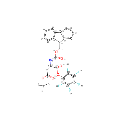 CC(C)(C)OC(=O)C[C@H](NC(=O)OCC1c2ccccc2-c2ccccc21)C(=O)Oc1c(F)c(F)c(F)c(F)c1F